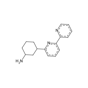 NC1CCCC(c2cccc(-c3ccccn3)n2)C1